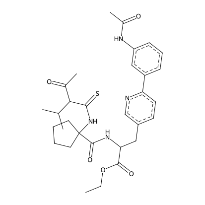 CCOC(=O)C(Cc1ccc(-c2cccc(NC(C)=O)c2)nc1)NC(=O)C1(NC(=S)C(C(C)=O)C(C)C)CCCC1